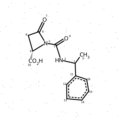 CC(NC(=O)N1C(=O)C[C@H]1C(=O)O)c1ccccc1